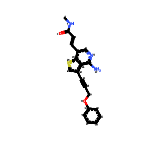 CNC(=O)C=Cc1cnc(N)c2c(C#CCOc3ccccc3)csc12